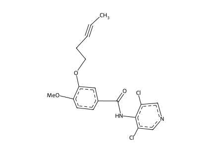 CC#CCCOc1cc(C(=O)Nc2c(Cl)cncc2Cl)ccc1OC